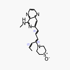 C\C=C/C(=C\C=C\c1cc2nccnc2c(NC)n1)N1CC[S+]([O-])CC1